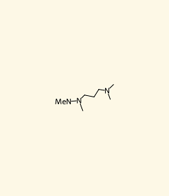 CNN(C)CCCN(C)C